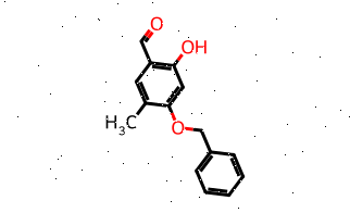 Cc1cc(C=O)c(O)cc1OCc1ccccc1